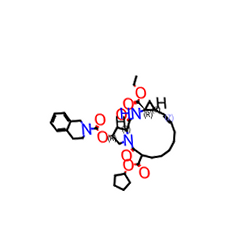 CCOC(=O)[C@@]12C[C@H]1/C=C\CCCCCC(C(=O)OC1CCCC1)C(=O)N1C[C@H](OC(=O)N3CCc4ccccc4C3)C[C@H]1C(=O)N2